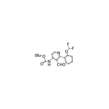 CC(C)(C)OC(=O)Nc1ccnc(-c2ccccc2OC(F)F)c1C=O